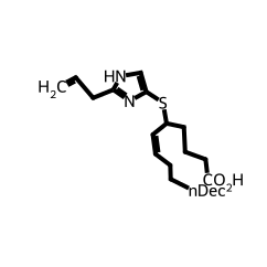 C=CCc1nc(SC(/C=C\CCCCCCCCCCCC)CCCC(=O)O)c[nH]1